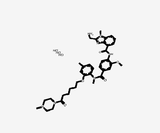 COc1cc(C(=O)N(C)c2ccc(C)cc2OCCCCCC(=O)N2CCN(C)CC2)ccc1NC(=O)c1cccc2c1nc(CN)n2C.Cl.Cl.Cl